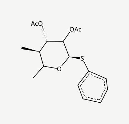 CC(=O)OC1[C@@H](Sc2ccccc2)OC(C)[C@@H](C)[C@@H]1OC(C)=O